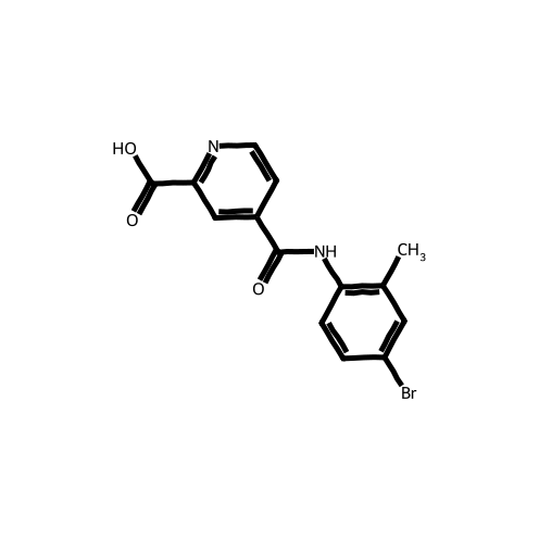 Cc1cc(Br)ccc1NC(=O)c1ccnc(C(=O)O)c1